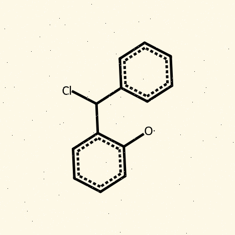 [O]c1ccccc1C(Cl)c1ccccc1